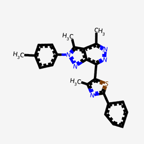 Cc1ccc(-n2nc3c(-c4sc(-c5ccccc5)nc4C)nnc(C)c3c2C)cc1